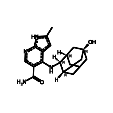 Cc1cc2c(N[C@H]3[C@@H]4CC5C[C@H]3C[C@@](O)(C5)C4)c(C(N)=O)cnc2[nH]1